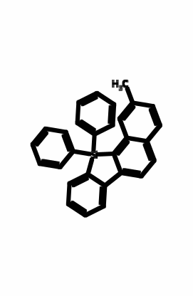 Cc1ccc2ccc3c(c2c1)[Si](c1ccccc1)(c1ccccc1)c1ccccc1-3